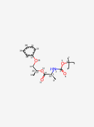 C[C@H](NC(=O)OC(C)(C)C)C(=O)O[C@@H](C)COc1ccccc1